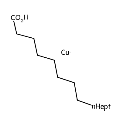 CCCCCCCCCCCCCCC(=O)O.[Cu]